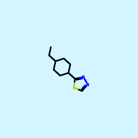 CCC1CCC(c2nncs2)CC1